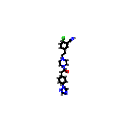 N#Cc1cc(CCN2CCN(C(=O)Cc3ccc(-n4cncn4)cc3)CC2)ccc1Cl